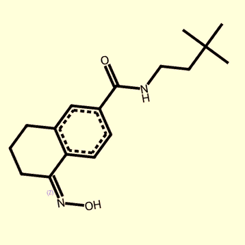 CC(C)(C)CCNC(=O)c1ccc2c(c1)CCC/C2=N/O